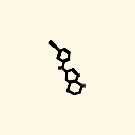 C#Cc1cccc(Nc2cnc3c(c2)OCCN3)c1